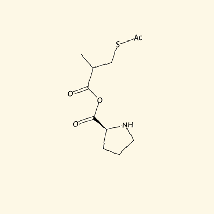 CC(=O)SCC(C)C(=O)OC(=O)[C@@H]1CCCN1